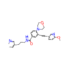 C/C=C(\C=N/C)CCCNC(=O)c1ccc(N2CCOCC2)c(C#Cc2ccc(OC)nc2)c1